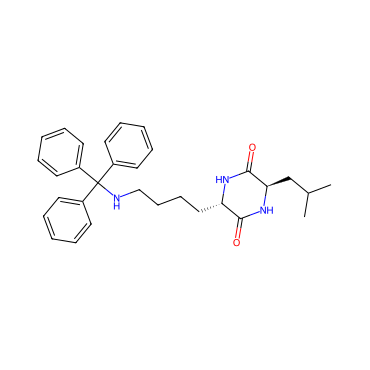 CC(C)C[C@H]1NC(=O)[C@H](CCCCNC(c2ccccc2)(c2ccccc2)c2ccccc2)NC1=O